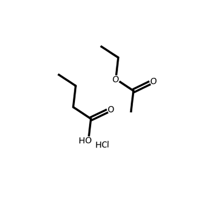 CCCC(=O)O.CCOC(C)=O.Cl